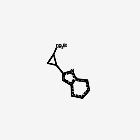 CCOC(=O)C1CC1c1cc2ccccn2n1